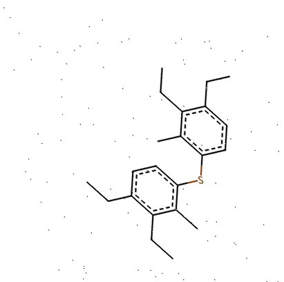 CCc1ccc(Sc2ccc(CC)c(CC)c2C)c(C)c1CC